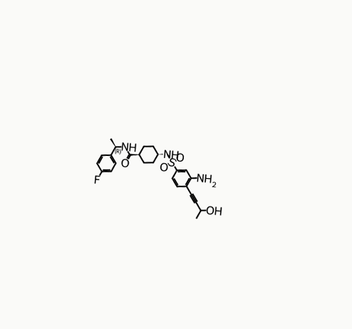 CC(O)C#Cc1ccc(S(=O)(=O)N[C@H]2CC[C@H](C(=O)N[C@H](C)c3ccc(F)cc3)CC2)cc1N